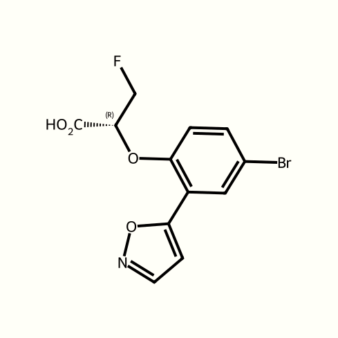 O=C(O)[C@H](CF)Oc1ccc(Br)cc1-c1ccno1